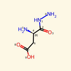 NNC(=O)[C@H](N)CC(=O)O